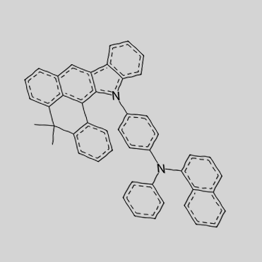 CC1(C)c2ccccc2-c2c3c1cccc3cc1c3ccccc3n(-c3ccc(N(c4ccccc4)c4cccc5ccccc45)cc3)c21